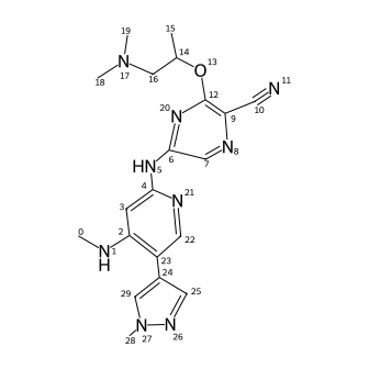 CNc1cc(Nc2cnc(C#N)c(OC(C)CN(C)C)n2)ncc1-c1cnn(C)c1